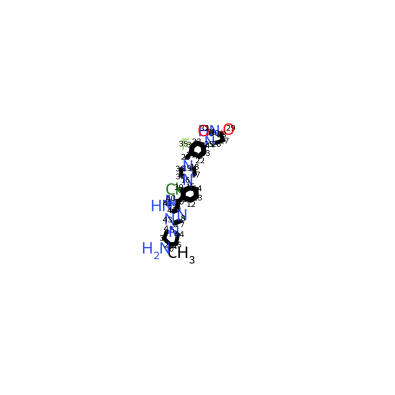 CC1(N)CCN(c2cnc3c(-c4cccc(N5CCN(Cc6ccc(N7CCC(=O)NC7=O)cc6F)CC5)c4Cl)n[nH]c3n2)CC1